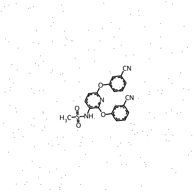 CS(=O)(=O)Nc1ccc(Oc2cccc(C#N)c2)nc1Oc1cccc(C#N)c1